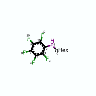 CCCCCCPc1c(F)c(F)c(F)c(F)c1F